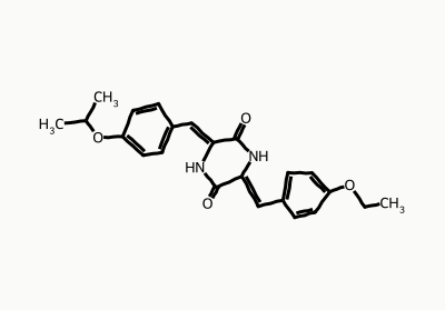 CCOc1ccc(C=c2[nH]c(=O)c(=Cc3ccc(OC(C)C)cc3)[nH]c2=O)cc1